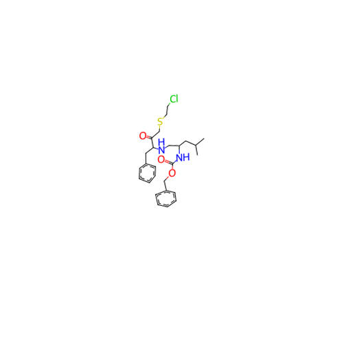 CC(C)CC(CNC(Cc1ccccc1)C(=O)CSCCCl)NC(=O)OCc1ccccc1